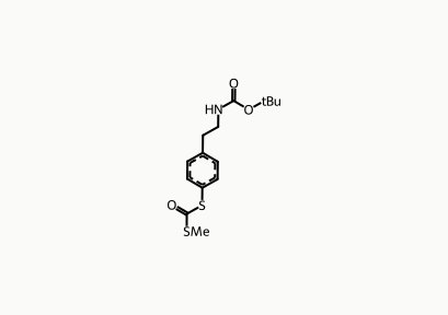 CSC(=O)Sc1ccc(CCNC(=O)OC(C)(C)C)cc1